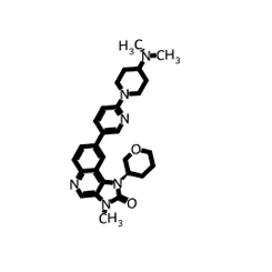 CN(C)C1CCN(c2ccc(-c3ccc4ncc5c(c4c3)n([C@@H]3CCCOC3)c(=O)n5C)cn2)CC1